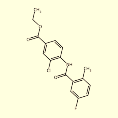 CCOC(=O)c1ccc(NC(=O)c2cc(F)ccc2C)c(Cl)c1